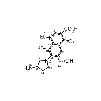 CCn1cc(C(=O)O)c(=O)c2cc(F)c(N3CCC(N)C3)c(F)c21.Cl